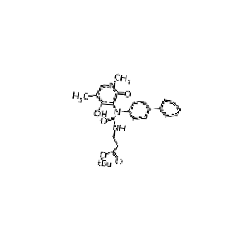 Cc1cn(C)c(=O)c(N(C(=O)NCCC(=O)OC(C)(C)C)c2ccc(-c3ccccc3)cc2)c1O